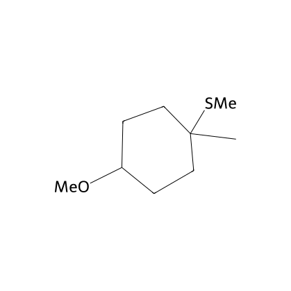 COC1CCC(C)(SC)CC1